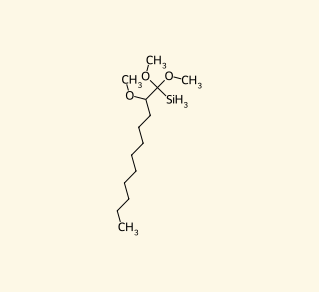 CCCCCCCCCC(OC)C([SiH3])(OC)OC